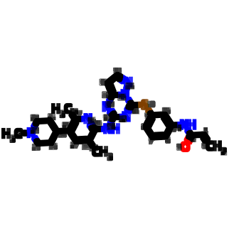 C=CC(=O)Nc1cccc(Sc2nc(Nc3nc(C)c(C4CCN(C)CC4)cc3C)nc3ccnn23)c1